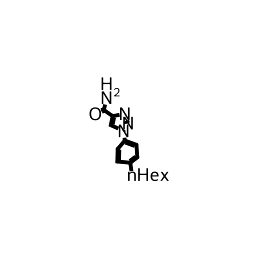 CCCCCCc1ccc(-n2cc(C(N)=O)nn2)cc1